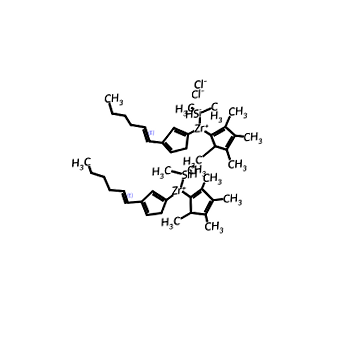 CCCC/C=C/C1=CC[C]([Zr+]([C]2=C(C)C(C)=C(C)C2C)[SiH](C)C)=C1.CCCC/C=C/C1=CC[C]([Zr+]([C]2=C(C)C(C)=C(C)C2C)[SiH](C)C)=C1.[Cl-].[Cl-]